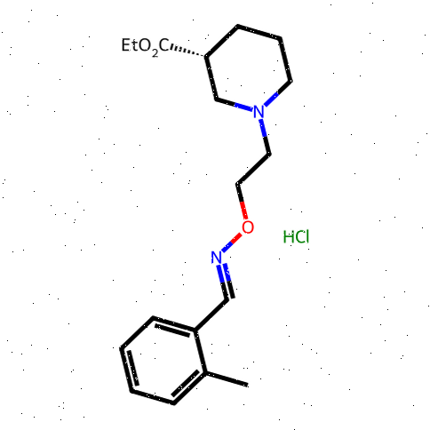 CCOC(=O)[C@@H]1CCCN(CCO/N=C/c2ccccc2C)C1.Cl